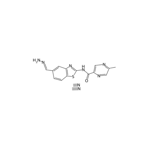 C#N.C#N.Cc1cnc(C(=O)Nc2nc3cc(C=NN)ccc3s2)cn1